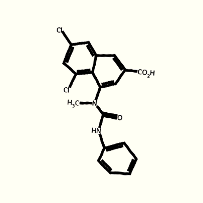 CN(C(=O)Nc1ccccc1)c1cc(C(=O)O)cc2cc(Cl)cc(Cl)c12